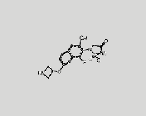 O=C1CN(c2c(O)cc3ccc(OC4CNC4)cc3c2F)S(=O)(=O)N1